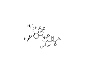 CCOc1cc(C(CS(C)(=O)=O)N2Cc3c(Cl)ccc(NC(=O)C4CC4)c3C2=O)ccc1OC